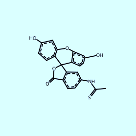 CC(=S)Nc1ccc2c(c1)C1(OC2=O)c2ccc(O)cc2Oc2cc(O)ccc21